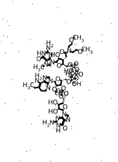 CCC1=C(N)c2ncn([C@@H]3O[C@H](COP(=O)(O)OP(=O)(O)OP(=O)(O)OC[C@H]4OC(n5c[n+](C)c6c(=O)[nH]c(N)nc65)[C@H](O)[C@@H]4CC(=O)N(CCOC)CCOC)[C@@H](OP(=O)([O-])OC[C@H]4O[C@@H](n5cnc6c(=O)[nH]c(N)nc65)[C@H](O)[C@@H]4O)[C@H]3OC)c2N=CC1